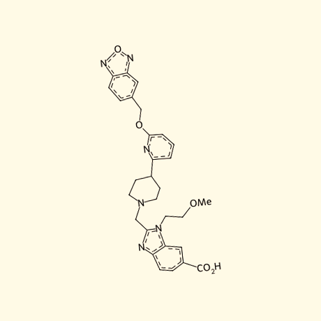 COCCn1c(CN2CCC(c3cccc(OCc4ccc5nonc5c4)n3)CC2)nc2ccc(C(=O)O)cc21